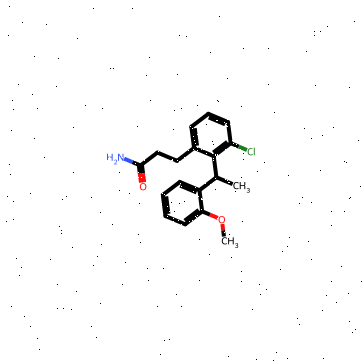 COc1ccccc1C(C)c1c(Cl)cccc1CCC(N)=O